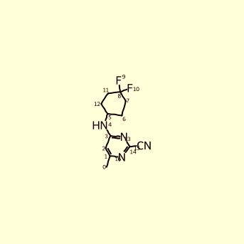 Cc1cc(NC2CCC(F)(F)CC2)nc(C#N)n1